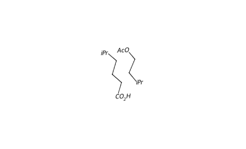 CC(=O)OCCC(C)C.CC(C)CCCC(=O)O